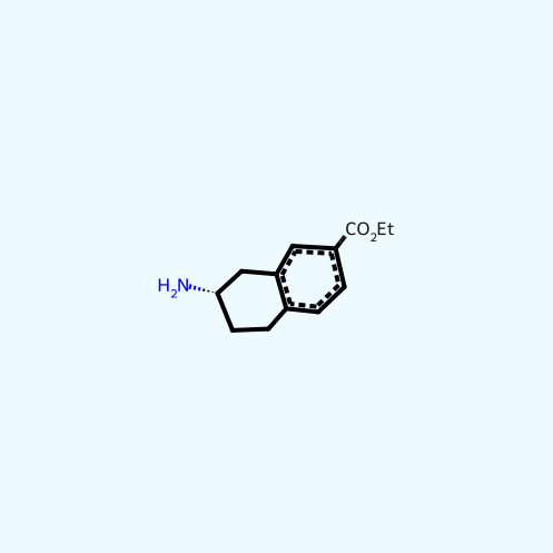 CCOC(=O)c1ccc2c(c1)C[C@@H](N)CC2